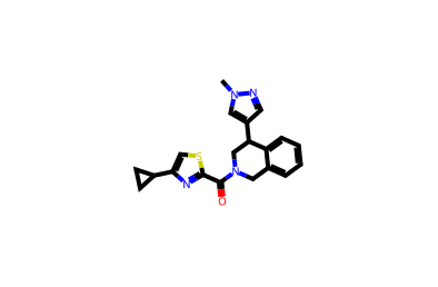 Cn1cc(C2CN(C(=O)c3nc(C4CC4)cs3)Cc3ccccc32)cn1